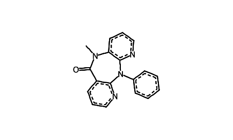 CN1C(=O)c2cccnc2N(c2ccccc2)c2ncccc21